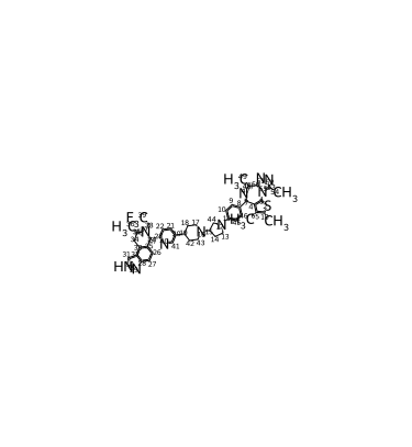 Cc1sc2c(c1C)C(c1ccc(N3CCC(N4CCC(c5ccc([C@@H]6c7ccc8n[nH]cc8c7C[C@@H](C)N6CC(F)(F)F)nc5)CC4)C3)cc1)=N[C@@H](C)c1nnc(C)n1-2